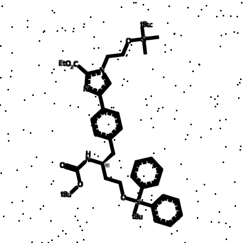 CCOC(=O)c1nc(-c2ccc(C[C@@H](CCO[Si](c3ccccc3)(c3ccccc3)C(C)(C)C)NC(=O)OC(C)(C)C)cc2)cn1CCO[Si](C)(C)C(C)(C)C